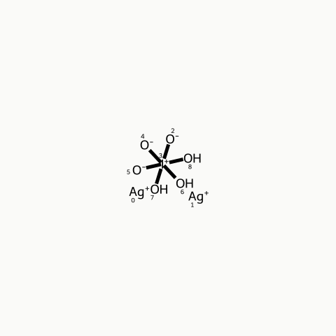 [Ag+].[Ag+].[O-][I+]([O-])([O-])(O)(O)O